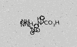 O=C(O)C(CNc1ccc2c(c1)OCC(=O)N2CCCNc1ncc[nH]1)c1ccccc1